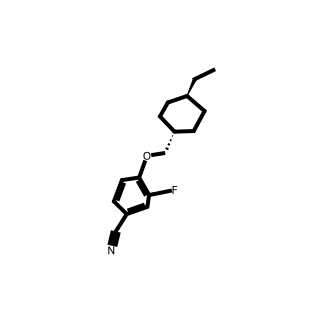 CC[C@H]1CC[C@H](COc2ccc(C#N)cc2F)CC1